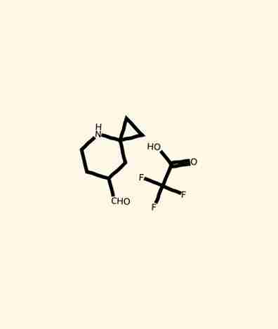 O=C(O)C(F)(F)F.O=CC1CCNC2(CC2)C1